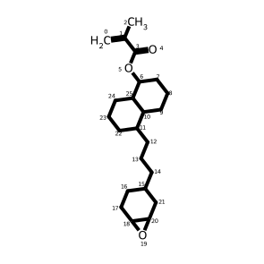 C=C(C)C(=O)OC1CCCC2C(CCCC3CCC4OC4C3)CCCC12